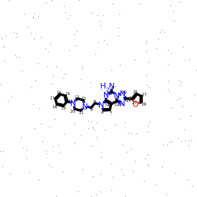 Nc1nc2c(ccn2CCN2CCN(c3ccccc3)CC2)c2nc(-c3ccco3)nn12